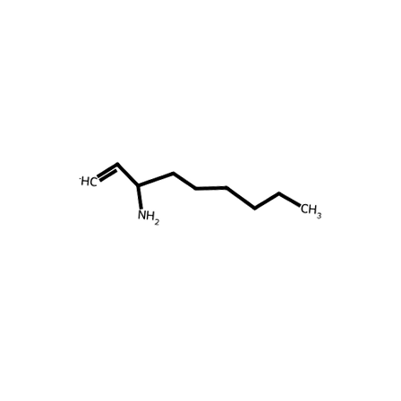 [CH]=CC(N)CCCCCC